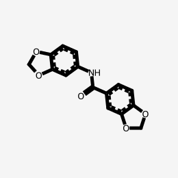 O=C(Nc1ccc2c(c1)OCO2)c1ccc2c(c1)OCO2